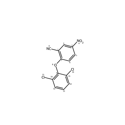 N#Cc1cc([N+](=O)[O-])ccc1Oc1c(Cl)cccc1Cl